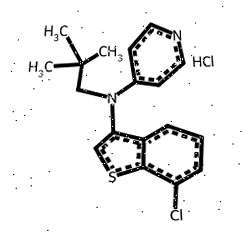 CC(C)(C)CN(c1ccncc1)c1csc2c(Cl)cccc12.Cl